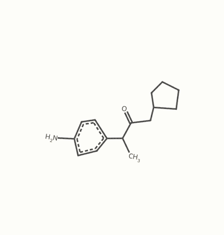 CC(C(=O)CC1CCCC1)c1ccc(N)cc1